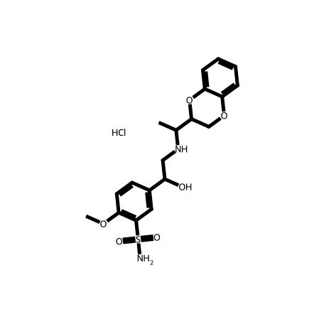 COc1ccc(C(O)CNC(C)C2COc3ccccc3O2)cc1S(N)(=O)=O.Cl